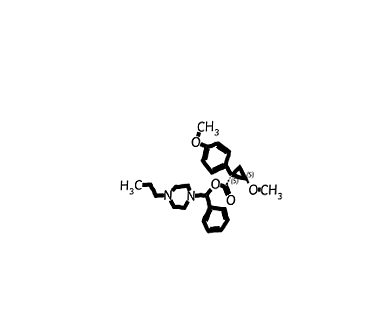 CCCN1CCN(C(OC(=O)[C@]2(c3ccc(OC)cc3)C[C@@H]2OC)c2ccccc2)CC1